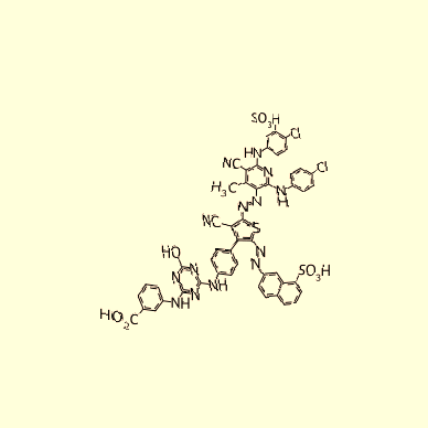 Cc1c(C#N)c(Nc2ccc(Cl)c(S(=O)(=O)O)c2)nc(Nc2ccc(Cl)cc2)c1N=Nc1sc(N=Nc2ccc3cccc(S(=O)(=O)O)c3c2)c(-c2ccc(Nc3nc(O)nc(Nc4cccc(C(=O)O)c4)n3)cc2)c1C#N